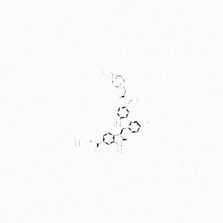 COC(=O)c1ccc2c(c1)NC(=O)C2=C(Nc1ccc(N(C)C(=O)CN2CCN(C)CC2)cc1)c1ccccc1.O